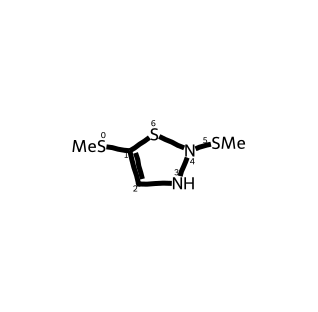 CSC1=CNN(SC)S1